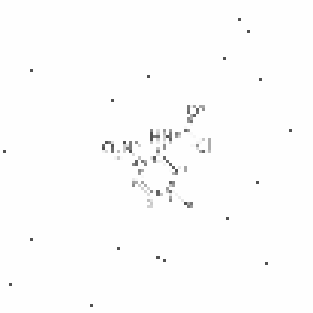 Cc1ccc([N+](=O)[O-])c(NC(=O)Cl)c1